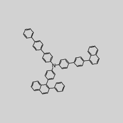 c1ccc(-c2ccc(-c3ccc(N(c4ccc(-c5ccc(-c6cccc7ccccc67)cc5)cc4)c4ccc(-c5c(-c6ccccc6)ccc6ccccc56)cc4)cc3)cc2)cc1